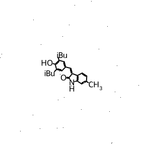 CCC(C)c1cc(/C=C2\C(=O)Nc3cc(C)ccc32)cc(C(C)CC)c1O